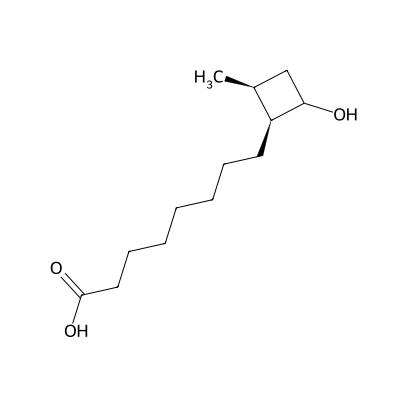 C[C@H]1CC(O)[C@H]1CCCCCCCC(=O)O